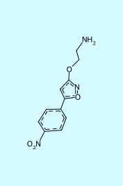 NCCOc1cc(-c2ccc([N+](=O)[O-])cc2)on1